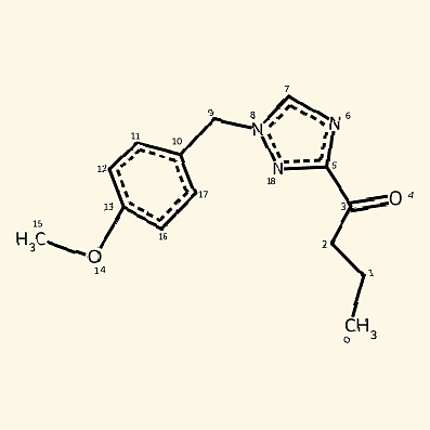 CCCC(=O)c1ncn(Cc2ccc(OC)cc2)n1